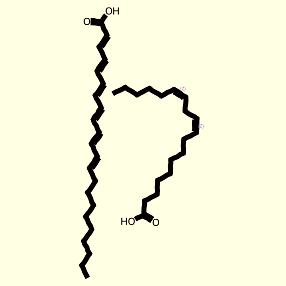 CCCCC/C=C\C/C=C\CCCCCCCC(=O)O.CCCCCCCCCC=CC=CC=CC=CC=CC=CC(=O)O